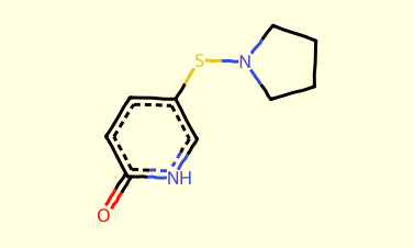 O=c1ccc(SN2CCCC2)c[nH]1